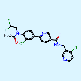 CC(=O)N(CC(F)F)c1ccc(-c2ccc(C(=O)NCc3cnccc3Cl)cn2)cc1Cl